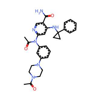 CC(=O)N1CCN(c2cccc(N(C(C)=O)c3cc(NC4(c5ccccc5)CC4)c(C(N)=O)cn3)c2)CC1